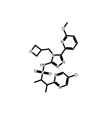 COc1cccc(-c2nnc(NS(=O)(=O)C(C)C(C)c3ncc(Cl)cn3)n2CC2COC2)n1